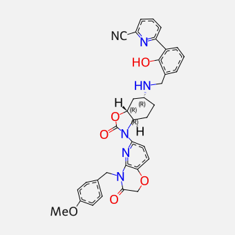 COc1ccc(CN2C(=O)COc3ccc(N4C(=O)O[C@@H]5C[C@H](NCc6cccc(-c7cccc(C#N)n7)c6O)CC[C@H]54)nc32)cc1